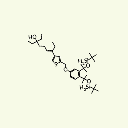 CCC(=CCCC(O)(CC)CC)c1csc(COc2ccc(C(C)(C)O[SiH2]C(C)(C)C)c(C(C)(C)O[SiH2]C(C)(C)C)c2)c1